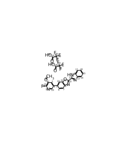 COc1cc(-c2ccc3nc(-c4nc5ccccc5[nH]4)oc3c2)cnc1F.O=C(O)C(F)(F)F.O=C(O)C(F)(F)F